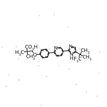 CC(C)(COc1ccc(-c2ccc(-c3ncc(C(C)(C)C(F)(F)F)[nH]3)cn2)cc1)C(=O)O